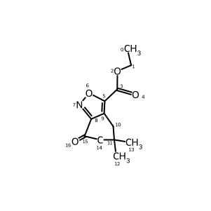 CCOC(=O)c1onc2c1CC(C)(C)CC2=O